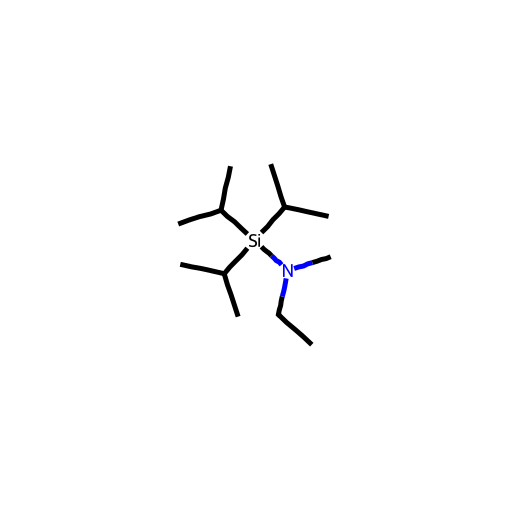 CCN(C)[Si](C(C)C)(C(C)C)C(C)C